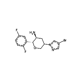 N[C@H]1CC(n2cc(Br)cn2)CO[C@@H]1c1cc(F)ccc1F